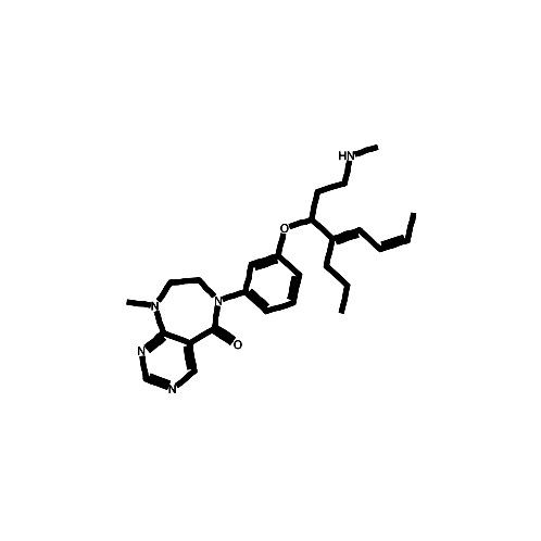 C/C=C\C=C(/CCC)C(CCNC)Oc1cccc(N2CCN(C)c3ncncc3C2=O)c1